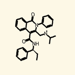 CC[C@H](NC(=O)c1c(CN(C)C(C)C)n(-c2ccccc2)c(=O)c2ccccc12)c1ccccc1